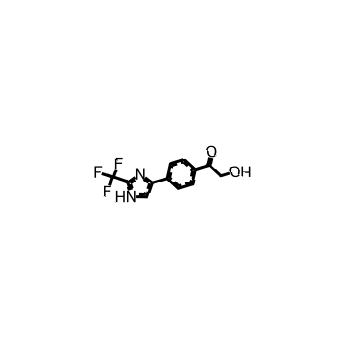 O=C(CO)c1ccc(-c2c[nH]c(C(F)(F)F)n2)cc1